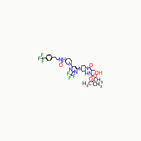 CC(C)(C)OC(=O)NC(CO)C(=O)N1CCN(c2cc(N3CCC[C@@H](C(=O)NCCc4ccc(C(F)(F)F)cc4)C3)nc(C(F)(F)F)n2)CC1